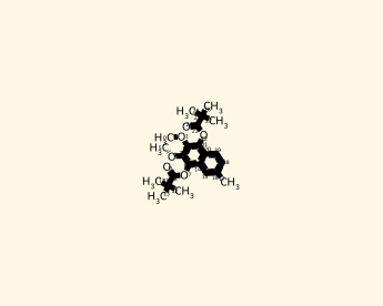 COc1c(OC)c(OC(=O)C(C)(C)C)c2cc(C)ccc2c1OC(=O)C(C)(C)C